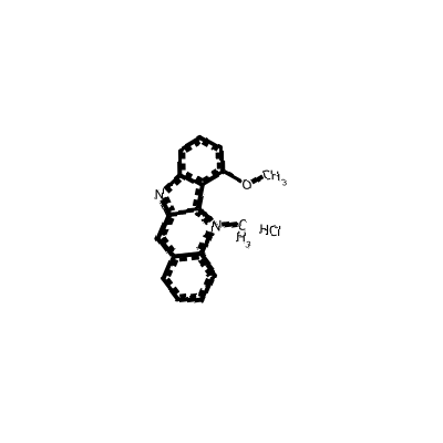 COc1cccc2nc3cc4ccccc4n(C)c-3c12.Cl